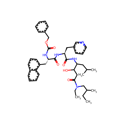 CCC(C)CN(CC)C(=O)CC(O)C(CC(C)C)NC(=O)[C@H](Cc1cccnc1)NC(=O)[C@H](Cc1cccc2ccccc12)NC(=O)OCc1ccccc1